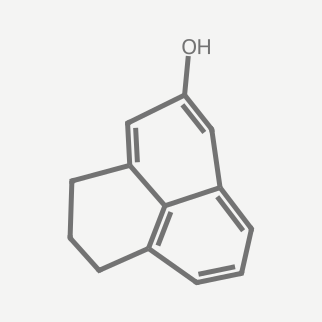 Oc1cc2c3c(cccc3c1)CCC2